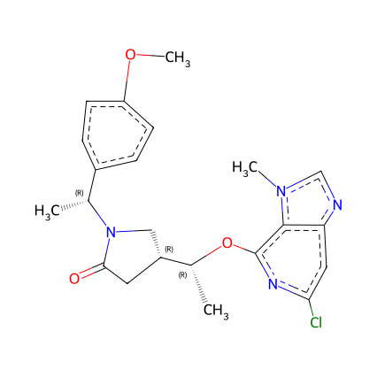 COc1ccc([C@@H](C)N2C[C@H]([C@@H](C)Oc3nc(Cl)cc4ncn(C)c34)CC2=O)cc1